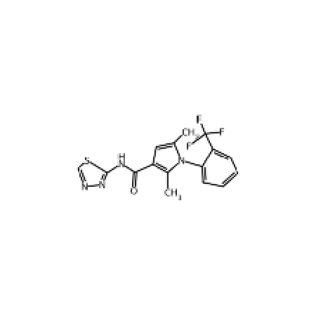 Cc1cc(C(=O)Nc2nncs2)c(C)n1-c1ccccc1C(F)(F)F